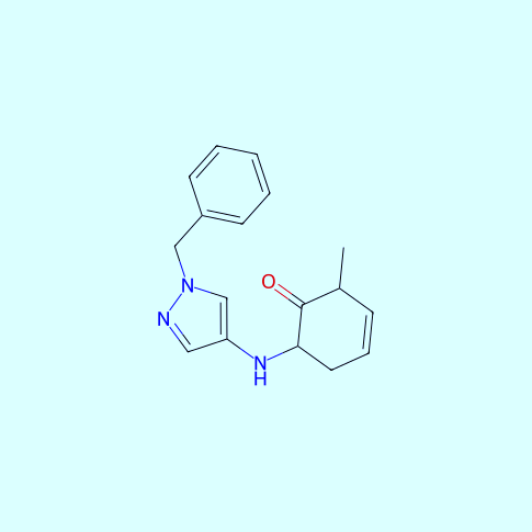 CC1C=CCC(Nc2cnn(Cc3ccccc3)c2)C1=O